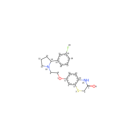 O=C1CSc2cc(OCCN3CCCC3c3cccc(F)c3)ccc2N1